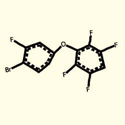 Fc1cc(Oc2c(F)c(F)cc(F)c2F)ccc1Br